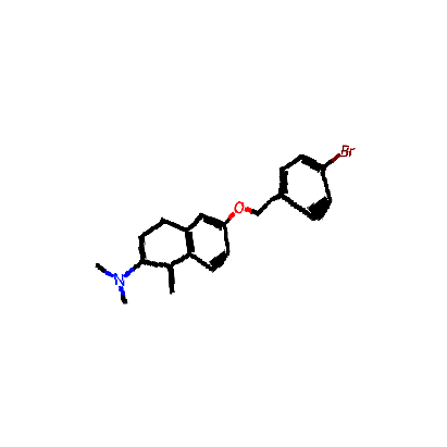 CC1c2ccc(OCc3ccc(Br)cc3)cc2CCC1N(C)C